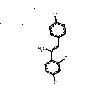 C/C(=C\c1ccc(Cl)cc1)c1ccc(Cl)cc1F